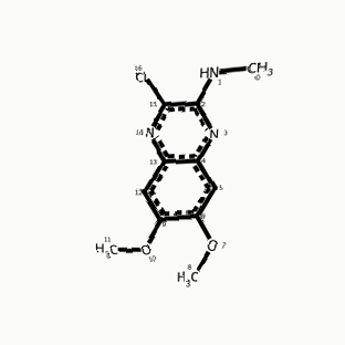 CNc1nc2cc(OC)c(OC)cc2nc1Cl